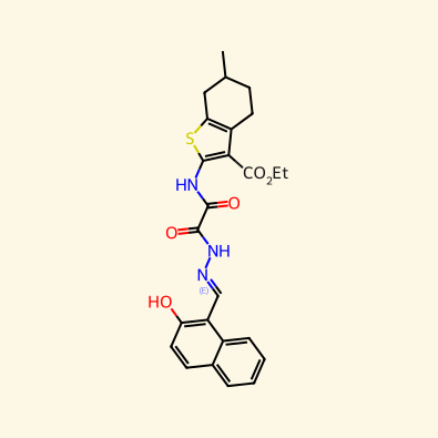 CCOC(=O)c1c(NC(=O)C(=O)N/N=C/c2c(O)ccc3ccccc23)sc2c1CCC(C)C2